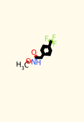 CONC(=O)Cc1ccc(C(F)(F)F)cc1